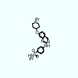 CC(C)NS(=O)(=O)c1ccc(Nc2ncc3ccc(OC4CCN(C(C)C)CC4)cc3n2)cc1